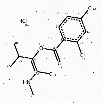 CNC(Cl)=C(OC(=O)c1ccc(Cl)cc1Cl)C(C)C.Cl